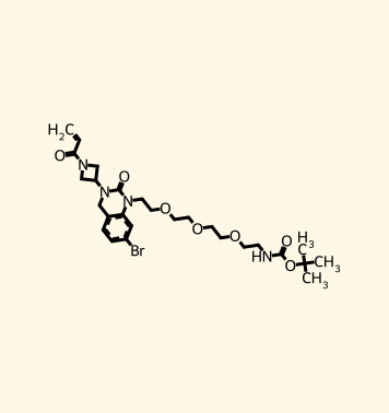 C=CC(=O)N1CC(N2Cc3ccc(Br)cc3N(CCOCCOCCOCCNC(=O)OC(C)(C)C)C2=O)C1